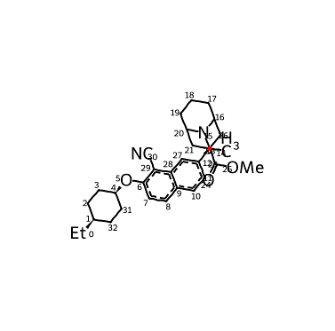 CC[C@H]1CC[C@@H](Oc2ccc3ccc(C(C)N4C5CCCC4CC(C(=O)OC)C5)cc3c2C#N)CC1